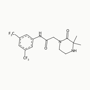 CC1(C)NCCN(CC(=O)Nc2cc(C(F)(F)F)cc(C(F)(F)F)c2)C1=O